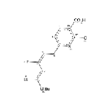 CC/C(=C\C(F)=C/Cc1ccc(C(=O)O)c(Cl)n1)OCC(C)C